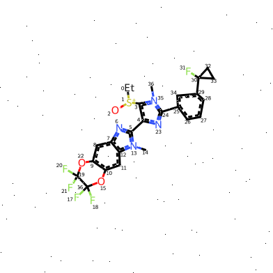 CC[S+]([O-])c1c(-c2nc3cc4c(cc3n2C)OC(F)(F)C(F)(F)O4)nc(-c2cccc(C3(F)CC3)c2)n1C